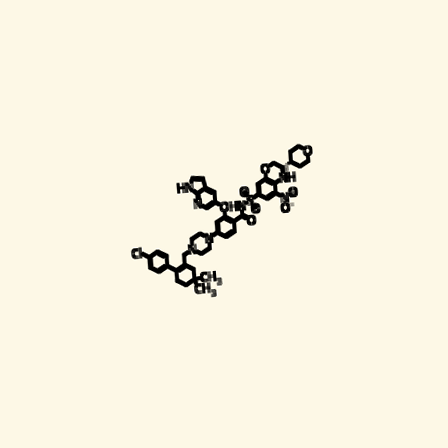 CC1(C)CCC(c2ccc(Cl)cc2)=C(CN2CCN(c3ccc(C(=O)NS(=O)(=O)c4cc5c(c([N+](=O)[O-])c4)N[C@@H](C4CCOCC4)CO5)c(Oc4cnc5[nH]ccc5c4)c3)CC2)C1